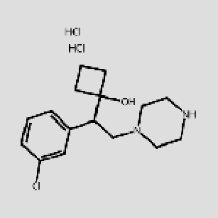 Cl.Cl.OC1(C(CN2CCNCC2)c2cccc(Cl)c2)CCC1